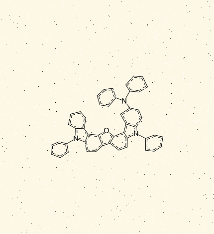 c1ccc(N(c2ccccc2)c2ccc3c(c2)c2c4oc5c(ccc6c5c5ccccc5n6-c5ccccc5)c4ccc2n3-c2ccccc2)cc1